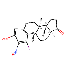 C[C@]12CC[C@@H]3c4c(cc(O)c(N=O)c4I)CC[C@H]3[C@@H]1CCC2=O